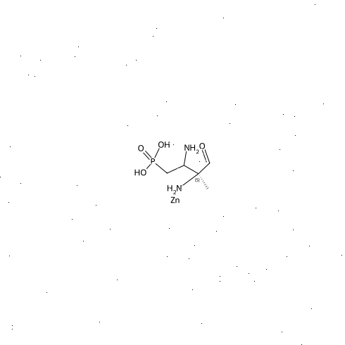 C[C@@](N)(C=O)C(N)CP(=O)(O)O.[Zn]